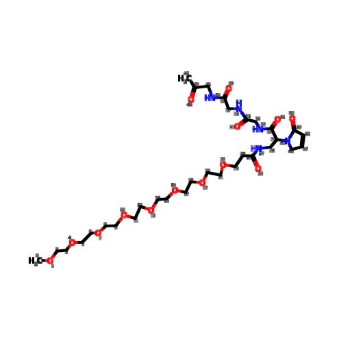 COCCOCCOCCOCCOCCOCCOCCOCCC(=O)NCC(C(=O)NCC(=O)NCC(=O)NCC(C)=O)N1CC=CC1=O